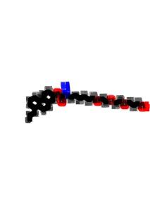 CCCC1CCCC2C1CCC1C[C@@H](OC(=O)NCCCCCCOCCOCCOCCCO)CC[C@@]12C